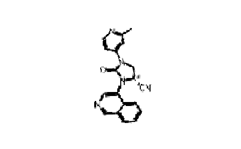 Cc1cc(N2C[C@H](C#N)N(c3cncc4ccccc34)C2=O)ccn1